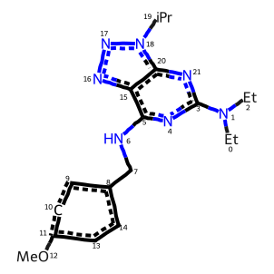 CCN(CC)c1nc(NCc2ccc(OC)cc2)c2nnn(C(C)C)c2n1